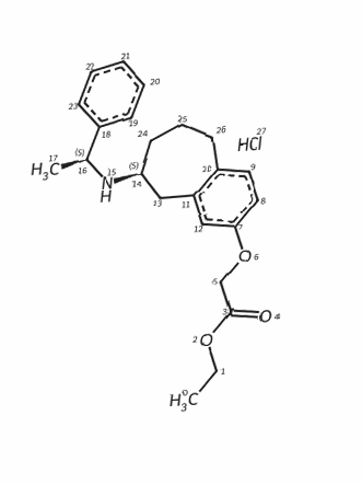 CCOC(=O)COc1ccc2c(c1)C[C@@H](N[C@@H](C)c1ccccc1)CCC2.Cl